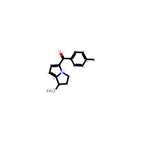 CCOC(=O)C1CCn2c(C(=O)c3ccc(C)cc3)ccc21